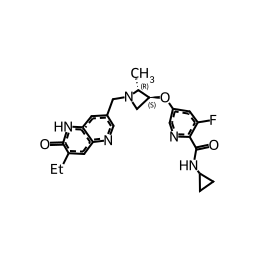 CCc1cc2ncc(CN3C[C@H](Oc4cnc(C(=O)NC5CC5)c(F)c4)[C@H]3C)cc2[nH]c1=O